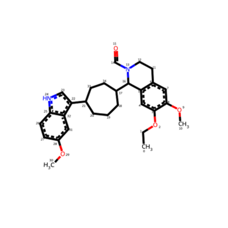 CCOc1cc2c(cc1OC)CCN(C=O)C2C1CCCC(c2c[nH]c3ccc(OC)cc23)CC1